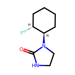 O=C1NCCN1[C@@H]1CCCC[C@H]1F